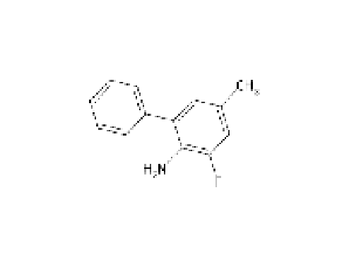 Cc1cc(F)c(N)c(-c2ccccc2)c1